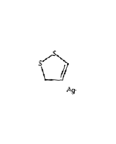 C1=CSSC1.[Ag]